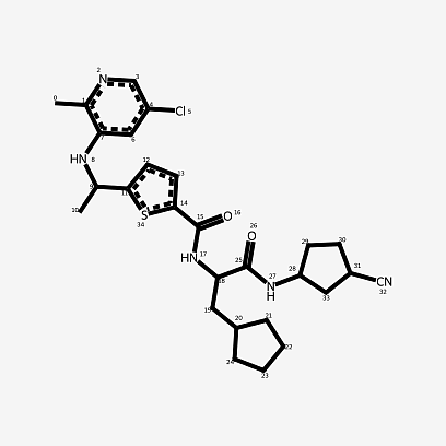 Cc1ncc(Cl)cc1NC(C)c1ccc(C(=O)NC(CC2CCCC2)C(=O)NC2CCC(C#N)C2)s1